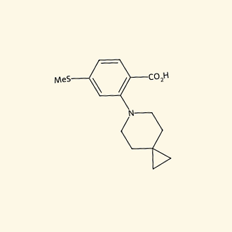 CSc1ccc(C(=O)O)c(N2CCC3(CC2)CC3)c1